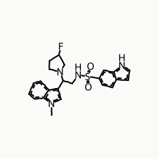 Cn1cc(C(CNS(=O)(=O)c2ccc3cc[nH]c3c2)N2CCC(F)C2)c2ccccc21